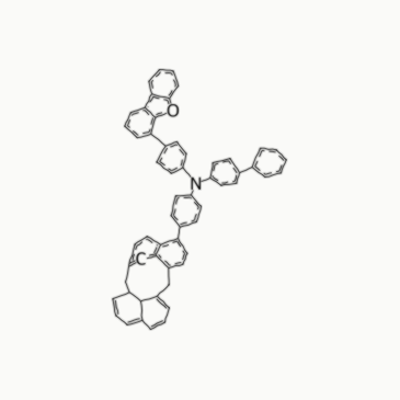 C1=CC2=CC=CC3Cc4ccc5c(-c6ccc(N(c7ccc(-c8ccccc8)cc7)c7ccc(-c8cccc9c8oc8ccccc89)cc7)cc6)ccc(c5c4)CC(=C1)C23